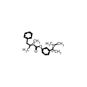 CC(Cc1ccccc1)N(C)C(=O)Oc1cccc([C@H](C)N(C)C)c1